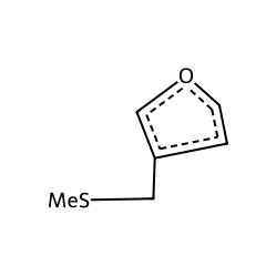 [CH2]SCc1ccoc1